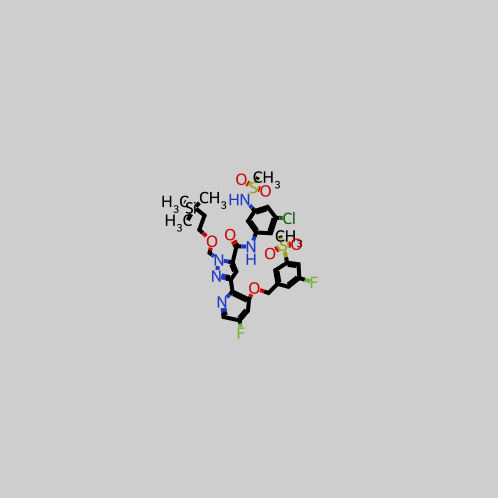 C[Si](C)(C)CCOCn1nc(-c2ncc(F)cc2OCc2cc(F)cc(S(C)(=O)=O)c2)cc1C(=O)Nc1cc(Cl)cc(NS(C)(=O)=O)c1